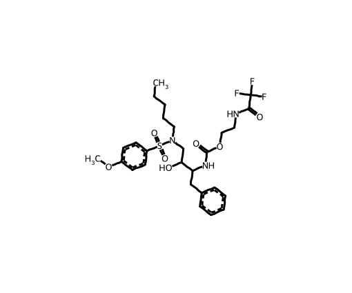 CCCCCN(CC(O)C(Cc1ccccc1)NC(=O)OCCNC(=O)C(F)(F)F)S(=O)(=O)c1ccc(OC)cc1